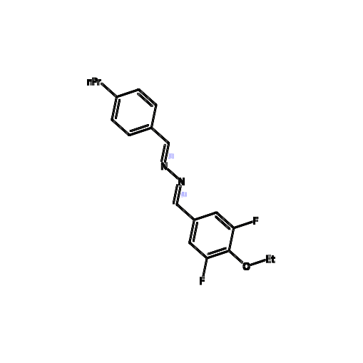 CCCc1ccc(/C=N/N=C/c2cc(F)c(OCC)c(F)c2)cc1